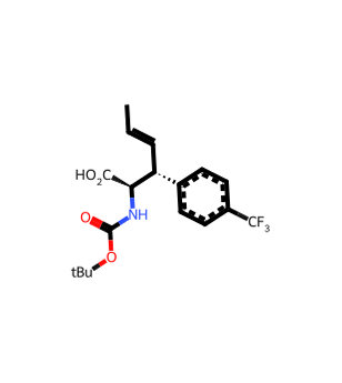 C/C=C/[C@H](c1ccc(C(F)(F)F)cc1)[C@@H](NC(=O)OC(C)(C)C)C(=O)O